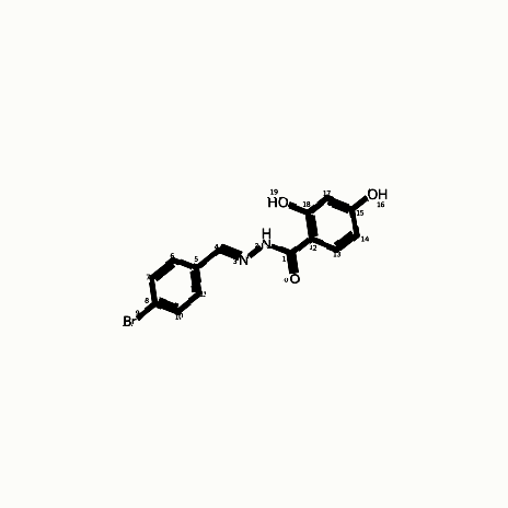 O=C(NN=Cc1ccc(Br)cc1)c1ccc(O)cc1O